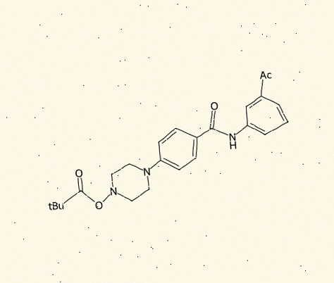 CC(=O)c1cccc(NC(=O)c2ccc(N3CCN(OC(=O)C(C)(C)C)CC3)cc2)c1